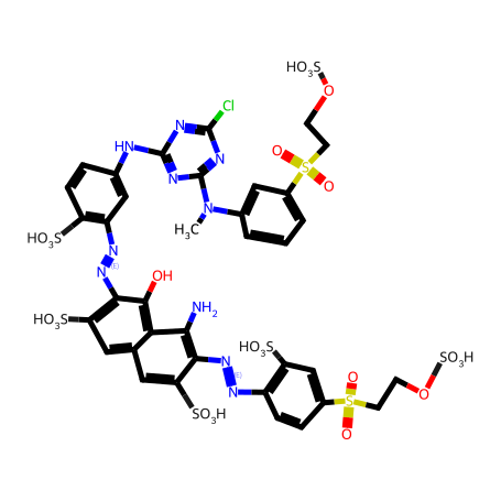 CN(c1cccc(S(=O)(=O)CCOS(=O)(=O)O)c1)c1nc(Cl)nc(Nc2ccc(S(=O)(=O)O)c(/N=N/c3c(S(=O)(=O)O)cc4cc(S(=O)(=O)O)c(/N=N/c5ccc(S(=O)(=O)CCOS(=O)(=O)O)cc5S(=O)(=O)O)c(N)c4c3O)c2)n1